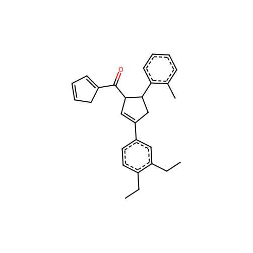 CCc1ccc(C2=CC(C(=O)C3=CC=CC3)C(c3ccccc3C)C2)cc1CC